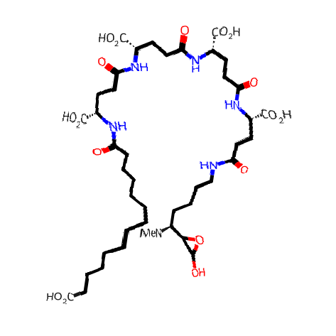 CN[C@@H](CCCCNC(=O)CC[C@H](NC(=O)CC[C@H](NC(=O)CC[C@H](NC(=O)CC[C@H](NC(=O)CCCCCCCCCCCCC(=O)O)C(=O)O)C(=O)O)C(=O)O)C(=O)O)C1OC1O